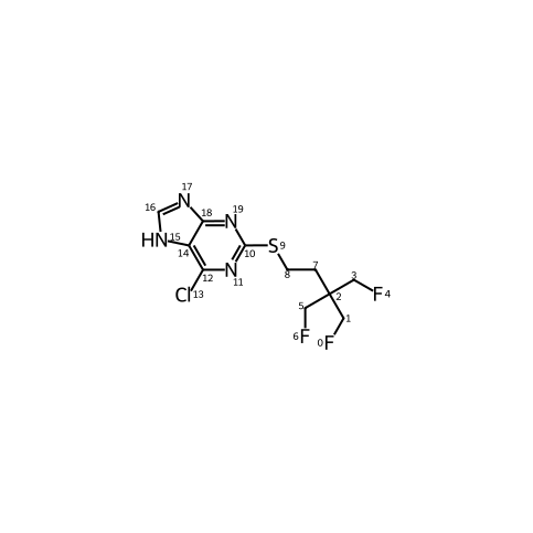 FCC(CF)(CF)CCSc1nc(Cl)c2[nH]cnc2n1